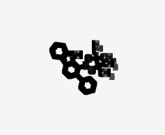 CC1(C)OB(c2c(-c3ccccc3)ccc3c2[nH]c2ccccc23)OC1(C)C